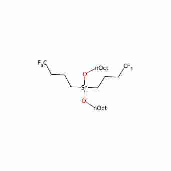 CCCCCCCC[O][Sn]([CH2]CCC(F)(F)F)([CH2]CCC(F)(F)F)[O]CCCCCCCC